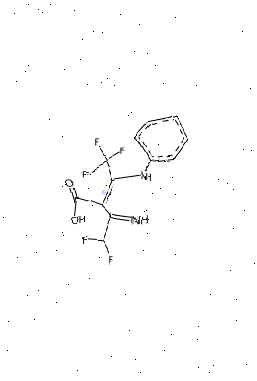 N=C(/C(C(=O)O)=C(\Nc1ccccc1)C(F)(F)F)C(F)F